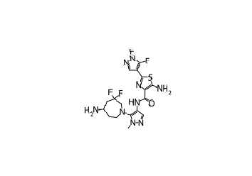 Cn1ncc(NC(=O)c2nc(-c3cnn(F)c3F)sc2N)c1N1CC[C@@H](N)CC(F)(F)C1